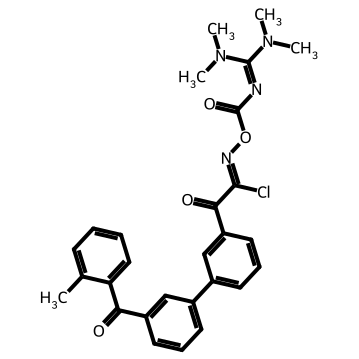 Cc1ccccc1C(=O)c1cccc(-c2cccc(C(=O)/C(Cl)=N/OC(=O)N=C(N(C)C)N(C)C)c2)c1